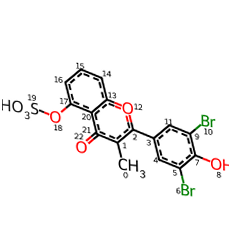 Cc1c(-c2cc(Br)c(O)c(Br)c2)oc2cccc(OS(=O)(=O)O)c2c1=O